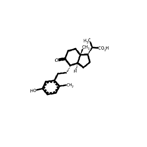 Cc1ccc(O)cc1CC[C@@H]1C(=O)CC[C@]2(C)[C@@H](C(C)C(=O)O)CC[C@@H]12